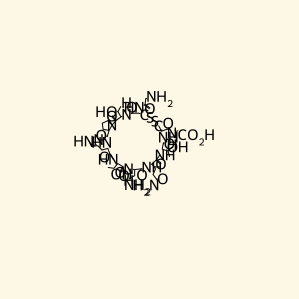 CC(O)C1NC(=O)C(CCC(N)=O)NC(=O)C(CC(N)=O)NC(=O)C(C(C)O)NC(=O)C(Cc2c[nH]cn2)NC(=O)C2CCCN2C(=O)C(C(C)O)NC(=O)C(NC(=O)CN)CSSCC(C(=O)NCC(=O)O)NC1=O